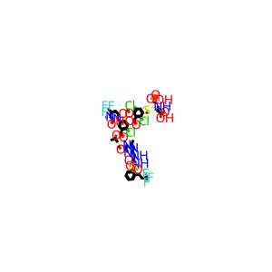 CC(C)OC(=O)c1cc(-n2c(=O)cc(C(F)(F)F)n(C)c2=O)ccc1Cl.COc1c(Cl)ccc(Cl)c1C(=O)O.COc1nc(C)nc(NC(=O)NS(=O)(=O)c2ccccc2CCC(F)(F)F)n1.C[S+](C)C.O=C(O)CNCP(=O)([O-])O